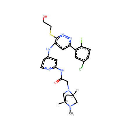 CN1C[C@@H]2C[C@H]1CN2CC(=O)Nc1cc(Nc2cc(-c3cc(Cl)ccc3F)nnc2SCCO)ccn1